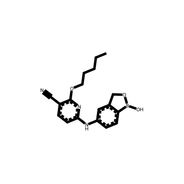 CCCCCOc1nc(Nc2ccc3c(c2)COB3O)ccc1C#N